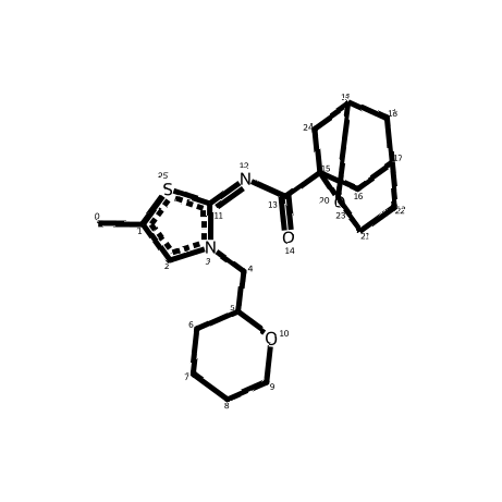 Cc1cn(CC2CCCCO2)c(=NC(=O)C23CC4CC(CC(C4)O2)C3)s1